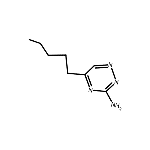 CCCCCc1cnnc(N)n1